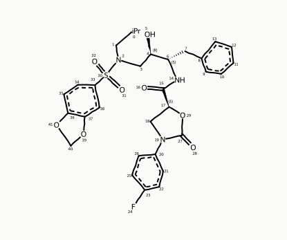 CC(C)CN(C[C@@H](O)[C@H](Cc1ccccc1)NC(=O)[C@@H]1CN(c2ccc(F)cc2)C(=O)O1)S(=O)(=O)c1ccc2c(c1)OCO2